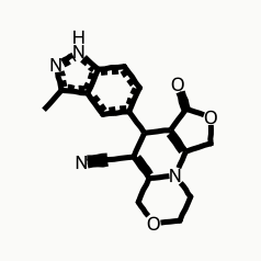 Cc1n[nH]c2ccc(C3C(C#N)=C4COCCN4C4=C3C(=O)OC4)cc12